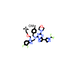 COc1ccc(CN(Cc2nc3c(F)c(F)ccc3n2COCC[Si](C)(C)C)c2nc(N3CCOCC3)nc3c(-c4cnn(C(F)F)c4)cnn23)cc1